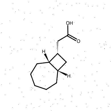 O=C(O)C[C@@H]1C[C@@H]2CCCCC[C@H]12